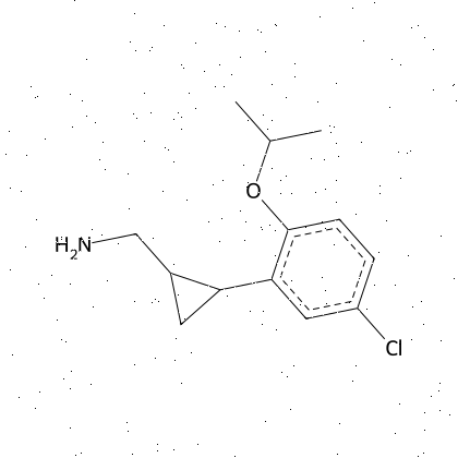 CC(C)Oc1ccc(Cl)cc1C1CC1CN